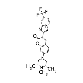 C[C@@H]1CN(c2ccc3cc(-c4cn5ccc(C(F)(F)F)cc5n4)c(=O)oc3c2)C[C@H](C)N1C